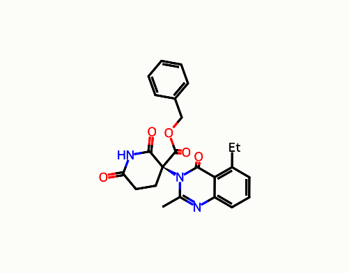 CCc1cccc2nc(C)n([C@@]3(C(=O)OCc4ccccc4)CCC(=O)NC3=O)c(=O)c12